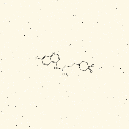 CC(CCCN1CCS(=O)(=O)CC1)Nc1ccnc2cc(Cl)ccc12